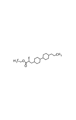 CCCC1CCC(C2CCC(CC(F)C(=O)OCC)CC2)CC1